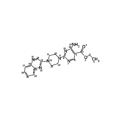 CCOC(=O)c1cnc(N2CCN(c3cnc4ccccc4n3)CC2)nc1N